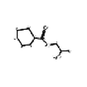 [CH2]C(O)COC(=O)C1CCCCC1